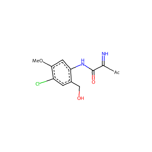 COc1cc(NC(=O)C(=N)C(C)=O)c(CO)cc1Cl